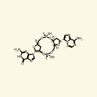 Nc1nc2c(ncn2[C@@H]2O[C@@H]3COP(=S)(S)O[C@H]4C[C@H](c5cnc6c(N)ncnn56)O[C@@H]4COP(O)(=S)O[C@@H]2C3)c(=O)[nH]1